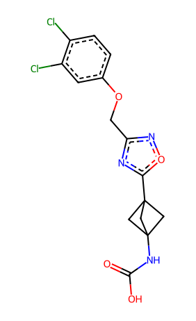 O=C(O)NC12CC(c3nc(COc4ccc(Cl)c(Cl)c4)no3)(C1)C2